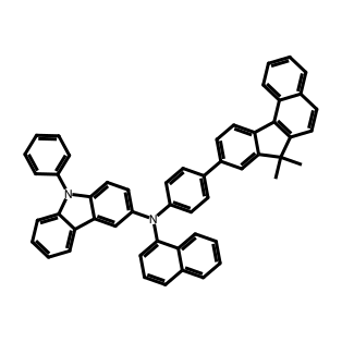 CC1(C)c2cc(-c3ccc(N(c4ccc5c(c4)c4ccccc4n5-c4ccccc4)c4cccc5ccccc45)cc3)ccc2-c2c1ccc1ccccc21